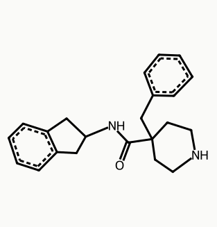 O=C(NC1Cc2ccccc2C1)C1(Cc2ccccc2)CCNCC1